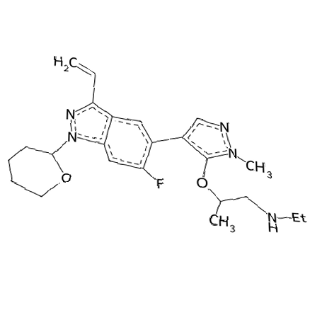 C=Cc1nn(C2CCCCO2)c2cc(F)c(-c3cnn(C)c3OC(C)CNCC)cc12